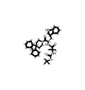 CC(C)(C)OC(=O)NC(C)(C)C(=O)N[C@H](Cc1c[nH]c2ccccc12)C(=O)N1CCC2(CC1)c1ccccc1-c1ccccc12